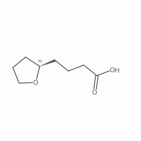 O=C(O)CCC[C@@H]1CCCO1